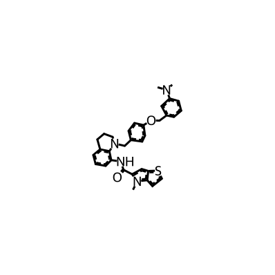 CN(C)c1cccc(COc2ccc(CN3CCCc4cccc(NC(=O)c5cc6sccc6n5C)c43)cc2)c1